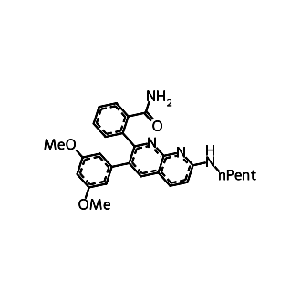 CCCCCNc1ccc2cc(-c3cc(OC)cc(OC)c3)c(-c3ccccc3C(N)=O)nc2n1